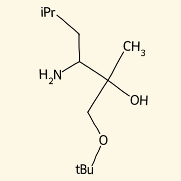 CC(C)CC(N)C(C)(O)COC(C)(C)C